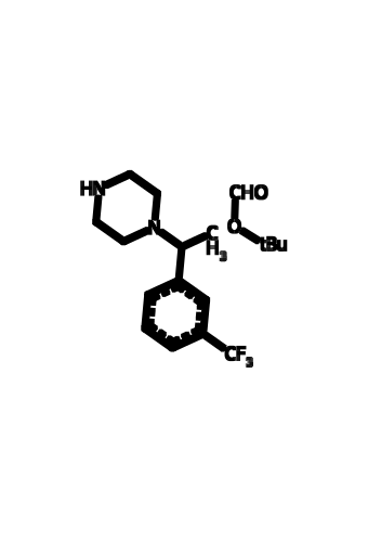 CC(C)(C)OC=O.CC(c1cccc(C(F)(F)F)c1)N1CCNCC1